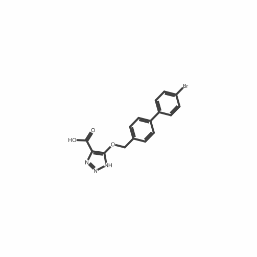 O=C(O)c1nn[nH]c1OCc1ccc(-c2ccc(Br)cc2)cc1